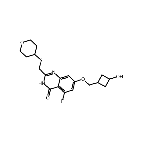 O=c1[nH]c(CSC2CCOCC2)nc2cc(OCC3CC(O)C3)cc(F)c12